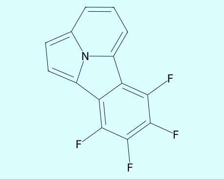 Fc1c(F)c(F)c2c(c1F)c1cccc3ccc2n31